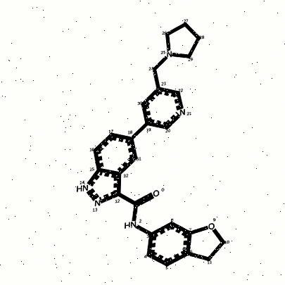 O=C(Nc1ccc2c(c1)OCC2)c1n[nH]c2ccc(-c3cncc(CN4CCCC4)c3)cc12